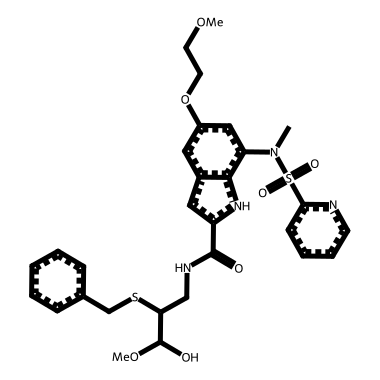 COCCOc1cc(N(C)S(=O)(=O)c2ccccn2)c2[nH]c(C(=O)NCC(SCc3ccccc3)C(O)OC)cc2c1